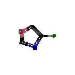 Fc1co[c]n1